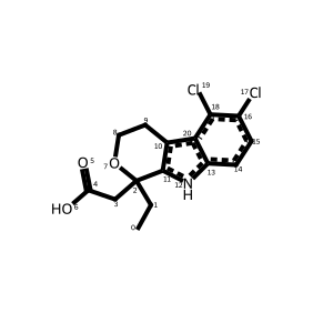 CCC1(CC(=O)O)OCCc2c1[nH]c1ccc(Cl)c(Cl)c21